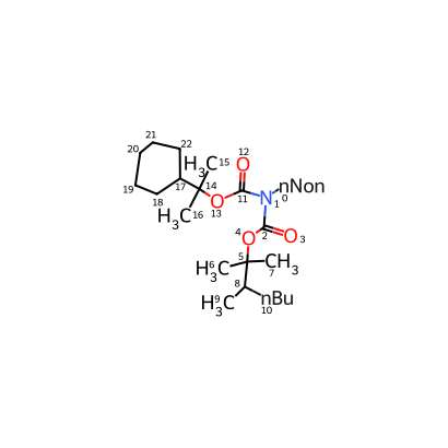 CCCCCCCCCN(C(=O)OC(C)(C)C(C)CCCC)C(=O)OC(C)(C)C1CCCCC1